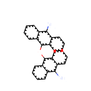 Nc1c2ccccc2c(Oc2c3ccccc3c(N)c3ccccc23)c2ccccc12